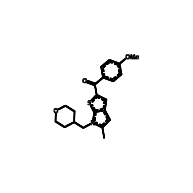 COc1ccc(C(=O)c2cc3cc(C)n(CC4CCOCC4)c3s2)cc1